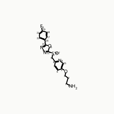 NCCCOc1ccc(C[S+]([O-])c2nnc(-c3ccc(F)cc3)o2)nc1